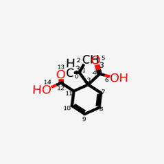 CC(C)C1(C(=O)O)C=CC=CC1C(=O)O